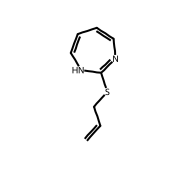 C=CCSC1=NC=CC=CN1